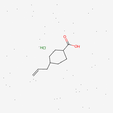 C=CCC1CCC(C(=O)O)CC1.Cl